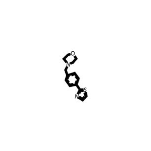 c1csc(-c2ccc(CN3CCOCC3)cc2)n1